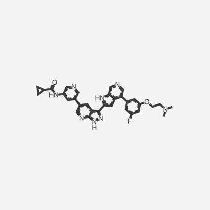 CN(C)CCOc1cc(F)cc(-c2cncc3[nH]c(-c4n[nH]c5ncc(-c6cncc(NC(=O)C7CC7)c6)cc45)cc23)c1